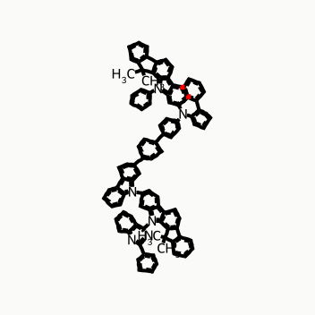 CC1(C)c2ccccc2-c2ccc3c4ccc(N(c5ccc(-c6ccc(-c7ccc8c9ccccc9n(-c9ccc%10c%11ccc%12c(c%11n(-c%11nc(-c%13ccccc%13)nc%13ccccc%11%13)c%10c9)C(C)(C)c9ccccc9-%12)c8c7)cc6)cc5)c5ccccc5-c5ccccc5)cc4n(-c4ccccc4)c3c21